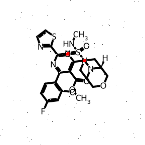 CNS(=O)(=O)N1CC2COC[C@@H](C1)N2Cc1nc(-c2nccs2)nc(-c2ccc(F)cc2Cl)c1C(=O)OC